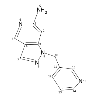 Nc1cc2c(cn1)cnn2Cc1cccnc1